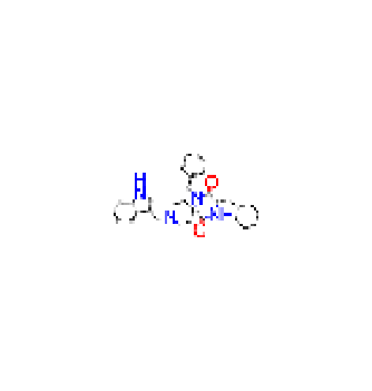 O=C1C(CC2CCCCC2)NC(=O)C2(CCN(Cc3c[nH]c4ccccc34)CC2)N1Cc1ccccc1